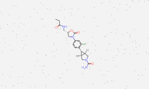 CCC(=O)NC[C@H]1CN(c2ccc([C@H]3[C@@H]4CN(C(N)=O)C[C@@H]43)c(F)c2)C(=O)O1